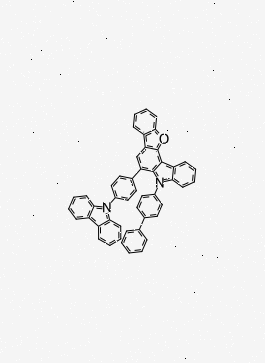 c1ccc(-c2ccc(-n3c4ccccc4c4c5oc6ccccc6c5cc(-c5ccc(-n6c7ccccc7c7ccccc76)cc5)c43)cc2)cc1